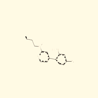 C=CCCN(C(=O)O)c1cc(-c2ccc([N+](=O)[O-])cc2N)ccn1